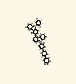 C1=CC2=C(CC1)C1C(C3=CC=C4C(C3)C3C=CCCC3N4c3ccccc3)CC=CC1N2C1C=CC(C2CC=C(C3CC=CCC3)CC2)=CC1